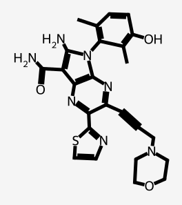 Cc1ccc(O)c(C)c1-n1c(N)c(C(N)=O)c2nc(-c3nccs3)c(C#CCN3CCOCC3)nc21